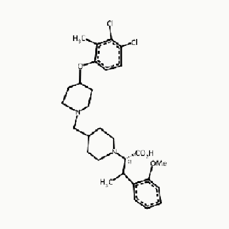 COc1ccccc1C(C)[C@@H](C(=O)O)N1CCC(CN2CCC(Oc3ccc(Cl)c(Cl)c3C)CC2)CC1